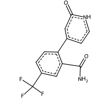 NC(=O)c1cc(C(F)(F)F)ccc1-c1cc[nH]c(=O)c1